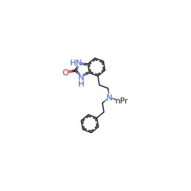 CCCN(CCc1ccccc1)CCc1cccc2[nH]c(=O)[nH]c12